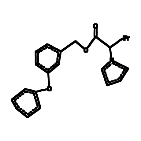 CC(C)C(C(=O)OCc1cccc(Oc2ccccc2)c1)n1cccc1